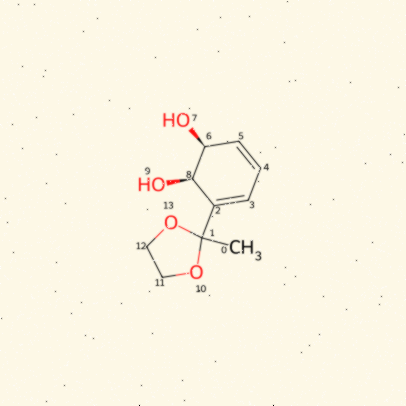 CC1(C2=CC=C[C@H](O)[C@@H]2O)OCCO1